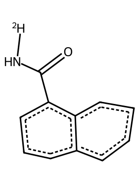 [2H]NC(=O)c1cccc2ccccc12